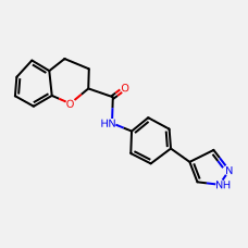 O=C(Nc1ccc(-c2cn[nH]c2)cc1)C1CCc2ccccc2O1